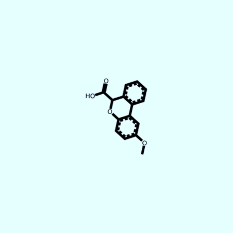 COc1ccc2c(c1)-c1ccccc1C(C(=O)O)O2